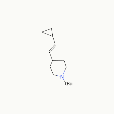 CC(C)(C)N1CCC(C=CC2CC2)CC1